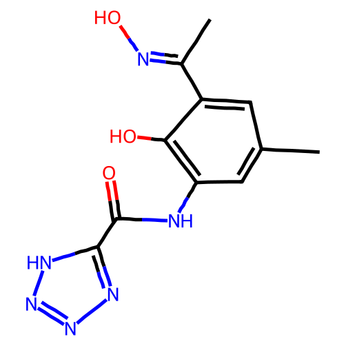 CC(=NO)c1cc(C)cc(NC(=O)c2nnn[nH]2)c1O